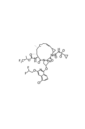 C[C@@H]1CC/C=C\C2C[C@@]2(C(=O)NS(=O)(=O)C2CC2)NC(=O)[C@@H]2C[C@@H](Oc3nc(OCC(F)F)cc4c(Cl)cccc34)CN2C(=O)[C@@H](NC(=O)O[C@H](C)C(F)(F)F)[C@H](C)C1